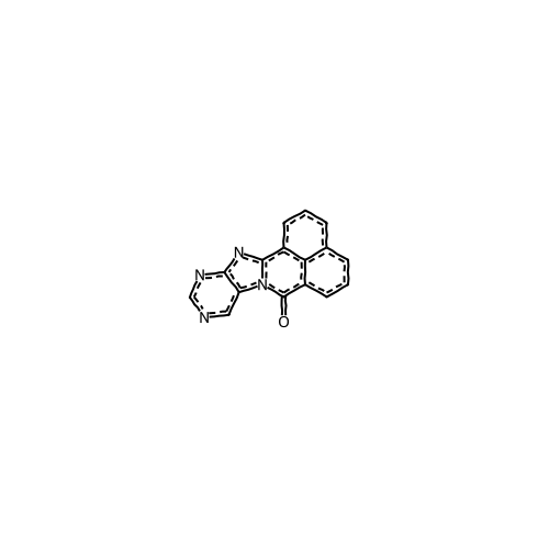 O=c1c2cccc3cccc(c32)c2nc3ncncc3n12